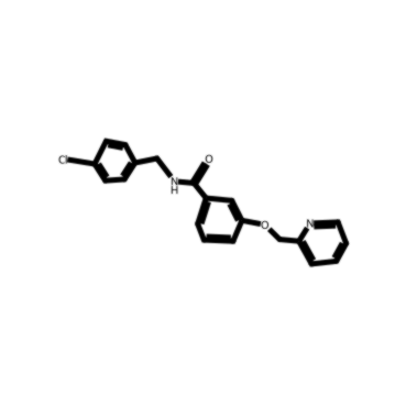 O=C(NCc1ccc(Cl)cc1)c1cccc(OCc2ccccn2)c1